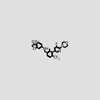 CC(=O)O[C@@H]1COc2cc(NCc3ccc(C(F)(F)F)c(-c4cnc(N5CCOCC5)c(F)c4)c3C)ccc21